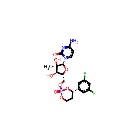 C[C@@]1(O)[C@H](O)[C@@H](COP2(=O)OCC[C@@H](c3cc(F)cc(F)c3)O2)O[C@H]1n1ccc(N)nc1=O